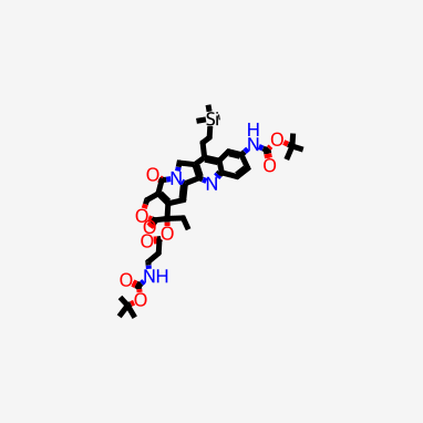 CCC1(OC(=O)CCNC(=O)OC(C)(C)C)C(=O)OCc2c1cc1n(c2=O)Cc2c-1nc1ccc(NC(=O)OC(C)(C)C)cc1c2CC[Si](C)(C)C